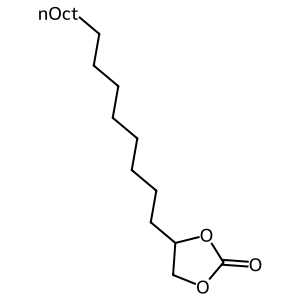 CCCCCCCCCCCCCCCCC1COC(=O)O1